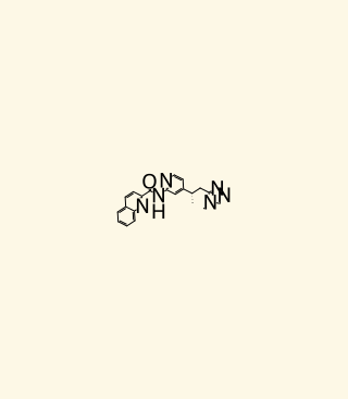 C[C@@H](Cc1nncn1C)c1ccnc(NC(=O)c2ccc3ccccc3n2)c1